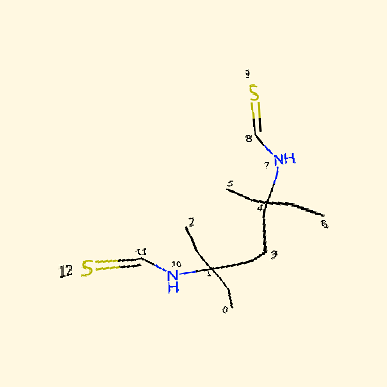 CC(C)(CC(C)(C)NC=S)NC=S